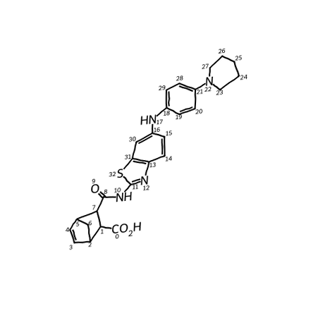 O=C(O)C1C2C=CC(C2)C1C(=O)Nc1nc2ccc(Nc3ccc(N4CCCCC4)cc3)cc2s1